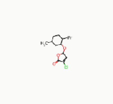 CC1CCC(C(C)C)C(OC2C=C(Cl)C(=O)O2)C1